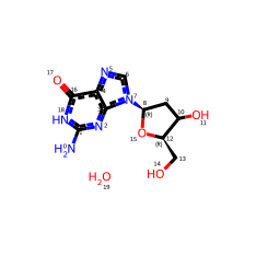 Nc1nc2c(ncn2[C@H]2CC(O)[C@@H](CO)O2)c(=O)[nH]1.O